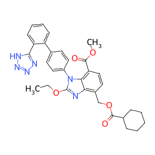 CCOc1nc2c(COC(=O)C3CCCCC3)ccc(C(=O)OC)c2n1-c1ccc(-c2ccccc2-c2nnn[nH]2)cc1